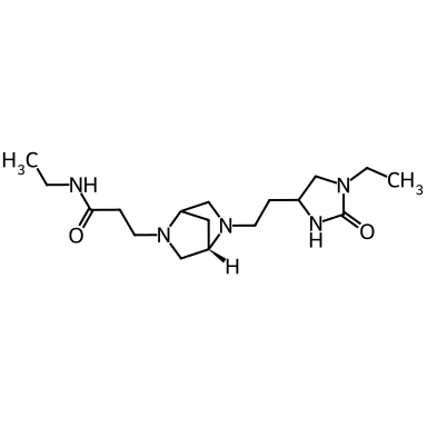 CCNC(=O)CCN1C[C@@H]2CC1CN2CCC1CN(CC)C(=O)N1